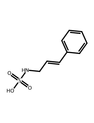 O=S(=O)(O)NC/C=C/c1ccccc1